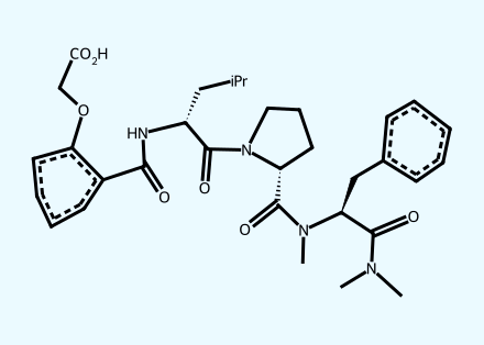 CC(C)C[C@@H](NC(=O)c1ccccc1OCC(=O)O)C(=O)N1CCC[C@@H]1C(=O)N(C)[C@@H](Cc1ccccc1)C(=O)N(C)C